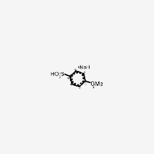 COc1ccc(S(=O)(=O)O)cc1.[NaH]